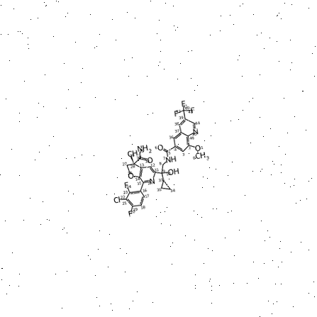 COc1cc(C(=O)NCC(O)(c2cc3c(c(-c4ccc(F)c(Cl)c4F)n2)OC[C@]3(C)C(N)=O)C2CC2)cc2cc(C(F)(F)F)cnc12